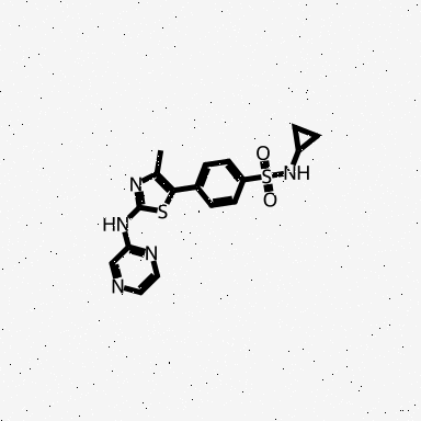 Cc1nc(Nc2cnccn2)sc1-c1ccc(S(=O)(=O)NC2CC2)cc1